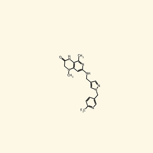 Cc1nc(NCc2cnn(Cc3ccc(C(F)(F)F)nc3)c2)cc2c1NC(=O)CN2C